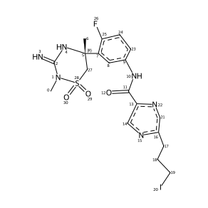 CN1C(=N)N[C@](C)(c2cc(NC(=O)c3cnc(CCCI)cn3)ccc2F)CS1(=O)=O